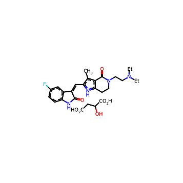 CCN(CC)CCN1CCc2[nH]c(/C=C3\C(=O)Nc4ccc(F)cc43)c(C)c2C1=O.O=C(O)CC(O)C(=O)O